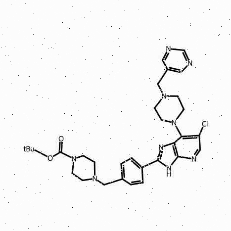 CC(C)(C)OC(=O)N1CCN(Cc2ccc(-c3nc4c(N5CCN(Cc6cncnc6)CC5)c(Cl)cnc4[nH]3)cc2)CC1